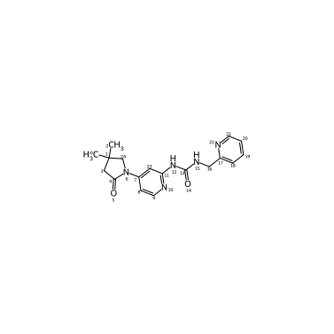 CC1(C)CC(=O)N(c2ccnc(NC(=O)NCc3ccccn3)c2)C1